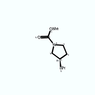 CCC[C@@H]1CCN(C(=O)OC)C1